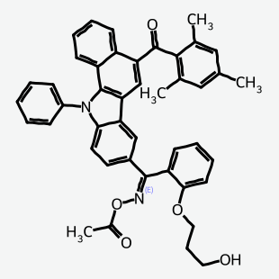 CC(=O)O/N=C(\c1ccc2c(c1)c1cc(C(=O)c3c(C)cc(C)cc3C)c3ccccc3c1n2-c1ccccc1)c1ccccc1OCCCO